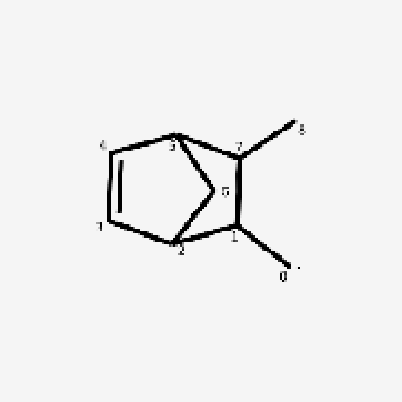 [CH2]C1C2C=CC(C2)C1C